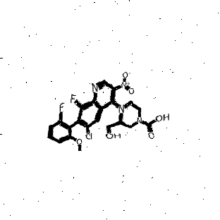 COc1cccc(F)c1-c1c(Cl)cc2c(N3CCN(C(=O)O)CC3CO)c([N+](=O)[O-])cnc2c1F